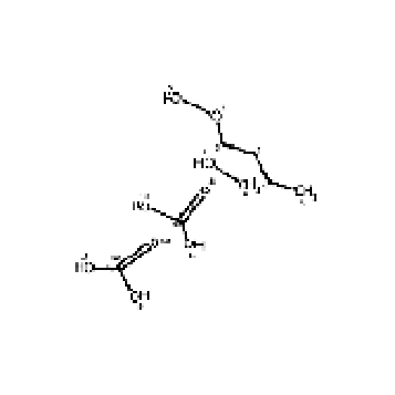 CCCCOO.CO.O=C(O)O.O=C(O)O